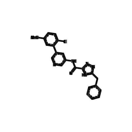 COc1ccc(Cl)c(-c2cncc(NC(=O)c3nnc(Cc4ccccc4)[nH]3)c2)c1